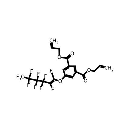 C=CCOC(=O)c1cc(OC(F)=C(F)C(F)(F)C(F)(F)C(F)(F)C(F)(F)F)cc(C(=O)OCC=C)c1